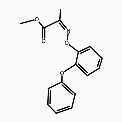 COC(=O)C(C)=NOc1ccccc1Oc1ccccc1